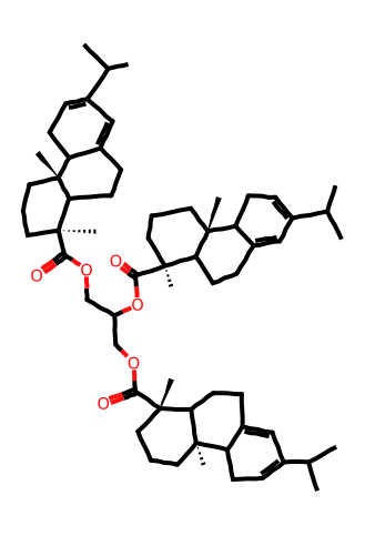 CC(C)C1=CCC2C(=C1)CCC1[C@]2(C)CCC[C@]1(C)C(=O)OCC(COC(=O)[C@@]1(C)CCC[C@]2(C)C3CC=C(C(C)C)C=C3CCC21)OC(=O)[C@@]1(C)CCC[C@]2(C)C3CC=C(C(C)C)C=C3CCC21